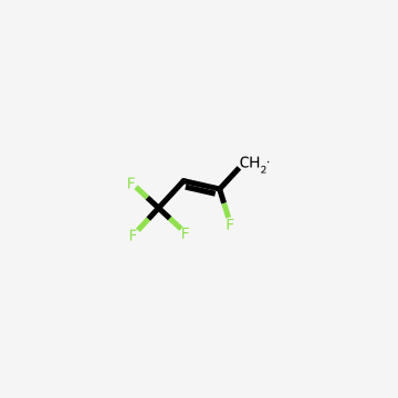 [CH2]C(F)=CC(F)(F)F